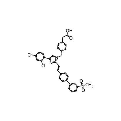 CS(=O)(=O)c1cccc(-c2ccc(C=Cc3nc(-c4ccc(Cl)cc4Cl)cn3Cc3ccc(CC(=O)O)cc3)cc2)c1